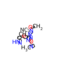 C=CC(=O)N1CCN(c2nc(OC[C@@H]3CCCN3C)nc3c2COC(c2c(C)ccc4[nH]ncc24)C3)C[C@@H]1CC#N